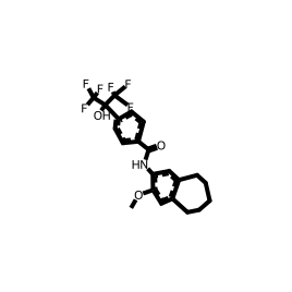 COc1cc2c(cc1NC(=O)c1ccc(C(O)(C(F)(F)F)C(F)(F)F)cc1)CCCCC2